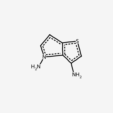 Nc1csc2ccn(N)c12